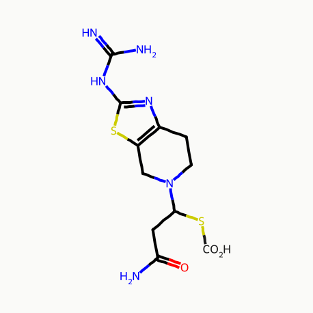 N=C(N)Nc1nc2c(s1)CN(C(CC(N)=O)SC(=O)O)CC2